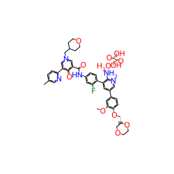 COc1cc(-c2cnc(N)c(-c3ccc(NC(=O)c4cn(CC5CCOCC5)cc(-c5ccc(C)cn5)c4=O)cc3F)c2)ccc1OC[C@H]1COCCO1.O.O=S(=O)(O)O